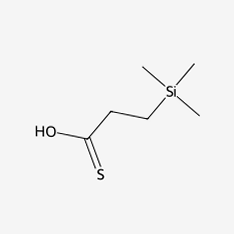 C[Si](C)(C)CCC(O)=S